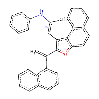 C=C(c1oc2ccc3ccccc3c2c1/C=C(\C)Nc1ccccc1)c1cccc2ccccc12